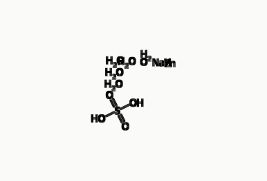 O.O.O.O.O.O=S(=O)(O)O.[NaH].[Zn]